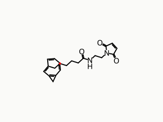 O=C(CCCCCC1=C\C2=C(\C=C/C=C\1)C2)NCCN1C(=O)C=CC1=O